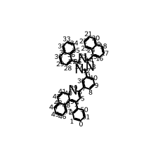 c1ccc(-c2cc(-c3cccc(-c4nc(-c5cccc6ccccc56)nc(-c5cccc6ccccc56)n4)c3)nc3ccc4ccccc4c23)cc1